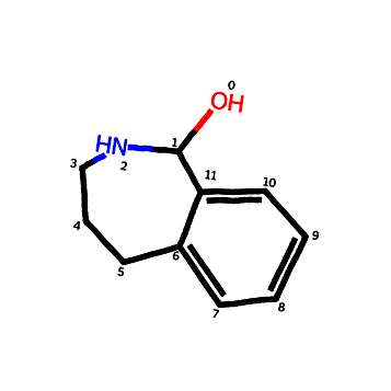 OC1NCCCc2ccccc21